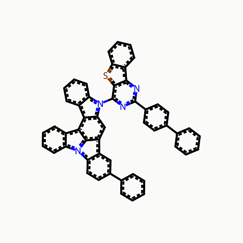 c1ccc(-c2ccc(-c3nc(-n4c5ccccc5c5c6c7ccccc7n7c8ccc(-c9ccccc9)cc8c(cc54)c67)c4sc5ccccc5c4n3)cc2)cc1